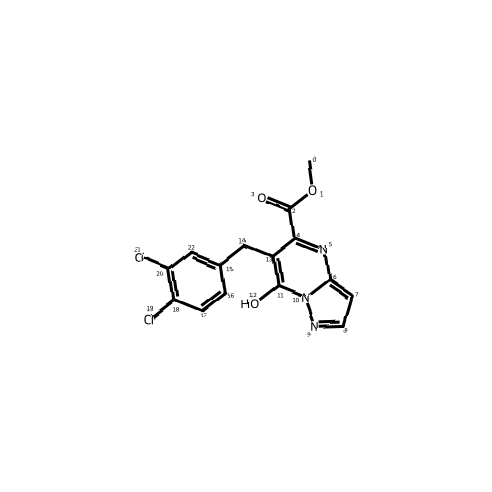 COC(=O)c1nc2ccnn2c(O)c1Cc1ccc(Cl)c(Cl)c1